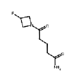 NC(=O)CC[CH]C(=O)N1CC(F)C1